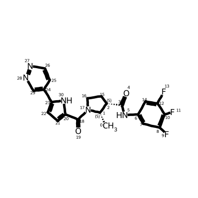 C[C@H]1[C@@H](C(=O)Nc2cc(F)c(F)c(F)c2)CCN1C(=O)c1ccc(-c2ccnnc2)[nH]1